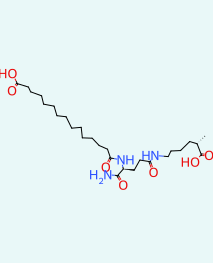 C[C@@H](CCCCNC(=O)CC[C@H](NC(=O)CCCCCCCCCCCCCC(=O)O)C(N)=O)C(=O)O